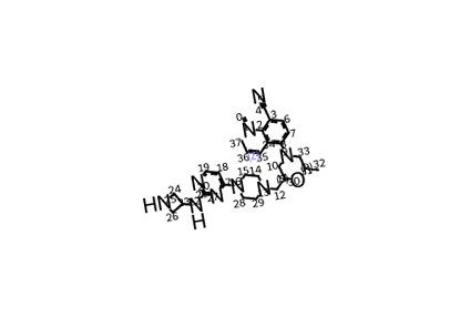 C=Nc1c(C#N)ccc(N2C[C@H](CN3CCN(c4ccnc(NC5CNC5)n4)CC3)O[C@H](C)C2)c1/C=C\C